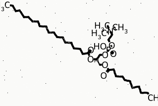 CCCCCCCCCCCCCCCCCCCC(=O)O[C@H](COC(=O)CCCCCCCCCC)COP(=O)(O)OCC[N+](C)(C)C